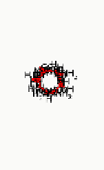 CCCC[C@H]1C(=O)N(C)[C@@H](CCCC)C(=O)N[C@@H](CC(C)C)C(=O)N[C@H](C(=O)NCC(N)=O)CSCC(=O)N[C@@H](Cc2ccc(O)cc2)C(=O)N(C)[C@@H](C)C(=O)N[C@@H](CC(N)=O)C(=O)N2CCC[C@H]2C(=O)N[C@@H](CN)C(=O)N[C@@H](CC(C)C)C(=O)N2C[C@H](O)C[C@H]2C(=O)N[C@@H](Cc2c[nH]c3ccccc23)C(=O)N[C@@H](CCN)C(=O)N[C@@H](Cc2c(C(=O)O)n(CC(=O)O)c3ccccc23)C(=O)N1C